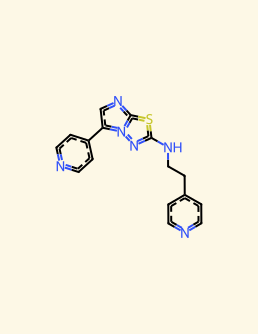 c1cc(CCNc2nn3c(-c4ccncc4)cnc3s2)ccn1